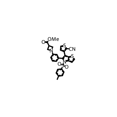 COC(=O)C1CN(c2cccc(-c3c(-c4ccsc4C#N)c4sccc4n3S(=O)(=O)c3ccc(C)cc3)c2)C1